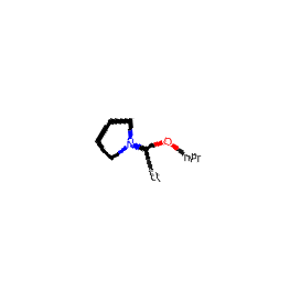 CCCOC(CC)N1CCCC1